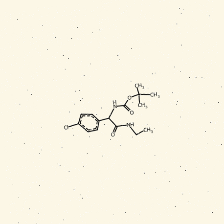 CCNC(=O)C(NC(=O)OC(C)(C)C)c1ccc(Cl)cc1